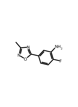 Cc1noc(-c2ccc(F)c(N)c2)n1